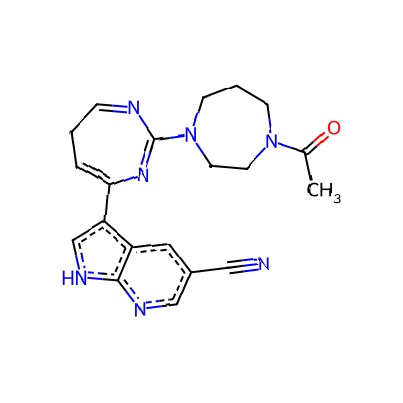 CC(=O)N1CCCN(C2=NC(c3c[nH]c4ncc(C#N)cc34)=CCC=N2)CC1